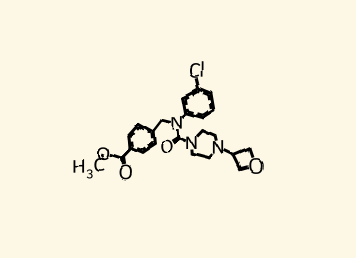 COC(=O)c1ccc(CN(C(=O)N2CCN(C3COC3)CC2)c2cccc(Cl)c2)cc1